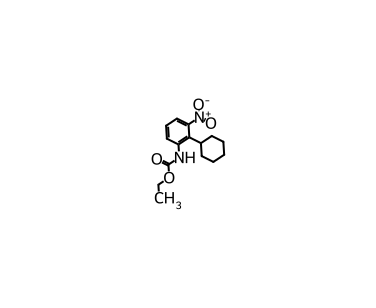 CCOC(=O)Nc1cccc([N+](=O)[O-])c1C1CCCCC1